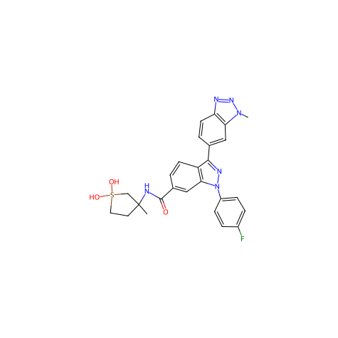 Cn1nnc2ccc(-c3nn(-c4ccc(F)cc4)c4cc(C(=O)NC5(C)CCS(O)(O)C5)ccc34)cc21